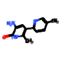 Cc1ccc(-c2cc(N)c(=O)[nH]c2C)nc1